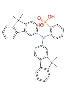 CC1(C)c2ccccc2-c2cc(N(c3ccc4c(c3)C(C)(C)c3ccccc3-4)c3ccccc3P(=O)(O)O)ccc21